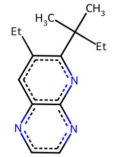 CCc1cc2nccnc2nc1C(C)(C)CC